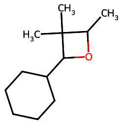 CC1OC(C2CCCCC2)C1(C)C